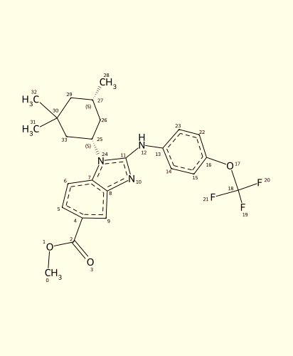 COC(=O)c1ccc2c(c1)nc(Nc1ccc(OC(F)(F)F)cc1)n2[C@H]1C[C@@H](C)CC(C)(C)C1